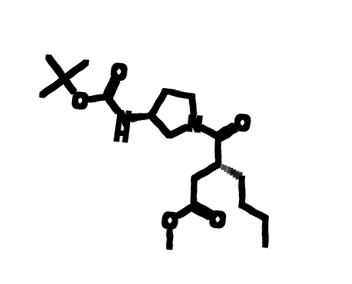 CCCC[C@H](CC(=O)OC)C(=O)N1CC[C@H](NC(=O)OC(C)(C)C)C1